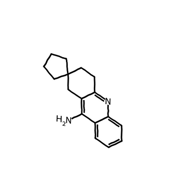 Nc1c2c(nc3ccccc13)CCC1(CCCC1)C2